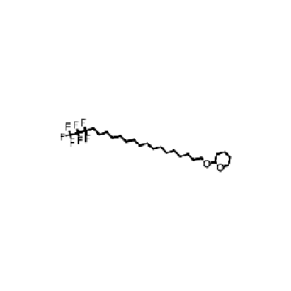 FC(F)(F)C(F)(F)C(F)(F)CCCCCCCCCCCCCCCCCOC1CCCCO1